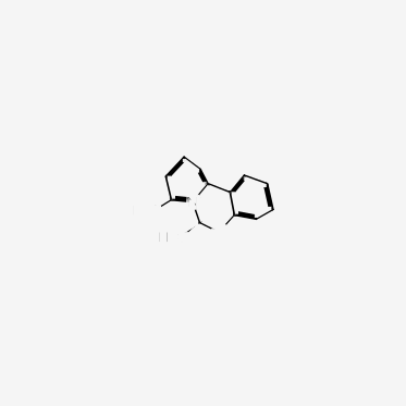 Cc1cccc2[n+]1[C@H](C)Oc1ccccc1-2